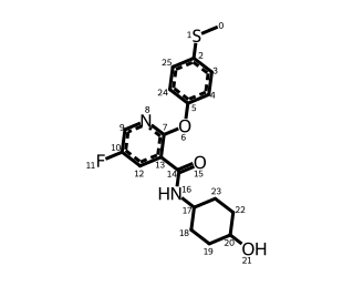 CSc1ccc(Oc2ncc(F)cc2C(=O)NC2CCC(O)CC2)cc1